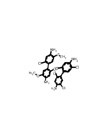 COc1cc(-c2cc(OC)c(N)cc2Cl)c(Cl)cc1N.Nc1cc(Cl)c(-c2cc(Cl)c(N)cc2Cl)cc1Cl